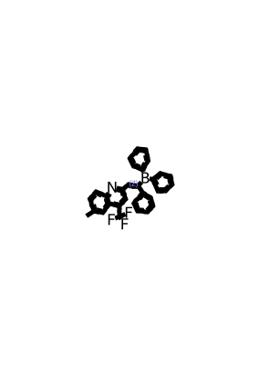 Cc1ccc2nc(/C=C(/B(c3ccccc3)c3ccccc3)c3ccccc3)cc(C(F)(F)F)c2c1